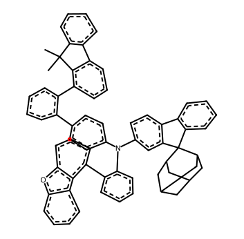 CC1(C)c2ccccc2-c2cccc(-c3ccccc3-c3ccc(N(c4ccc5c(c4)C4(c6ccccc6-5)C5CC6CC(C5)CC4C6)c4ccccc4-c4cccc5oc6ccccc6c45)cc3)c21